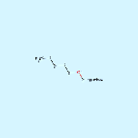 CCCCCCCOCCCCC(F)(F)F